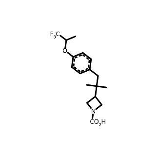 CC(Oc1ccc(CC(C)(C)C2CN(C(=O)O)C2)cc1)C(F)(F)F